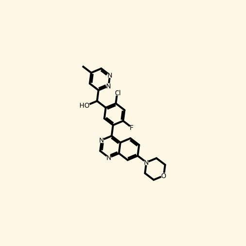 Cc1cnnc(C(O)c2cc(-c3ncnc4cc(N5CCOCC5)ccc34)c(F)cc2Cl)c1